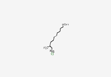 CCCCCCCCCCCCCCCCC(C)[CH2][Mg][Cl]